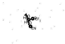 N#Cc1ccc(CC(=O)Nc2cc(-c3ccc(OC(F)(F)F)cc3)cc(NC(=O)C3CC3)n2)cc1